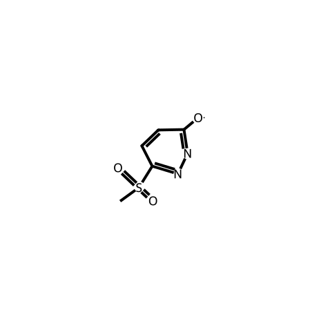 CS(=O)(=O)c1ccc([O])nn1